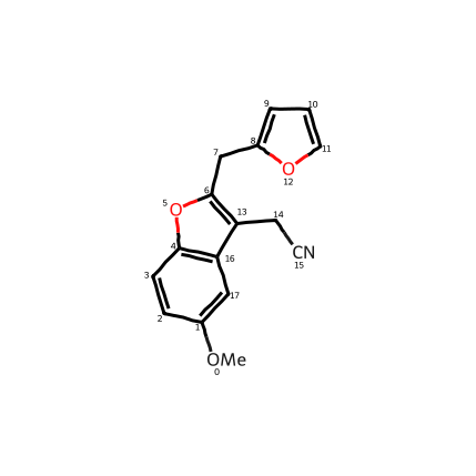 COc1ccc2oc(Cc3ccco3)c(CC#N)c2c1